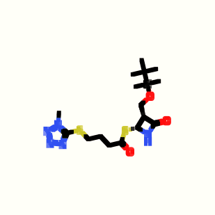 Cn1nnnc1SCCCC(=O)S[C@H]1NC(=O)[C@@H]1CO[Si](C)(C)C(C)(C)C